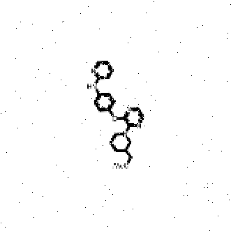 COCC1CCCN(c2nccnc2Oc2ccc(Nc3ccccn3)cc2)C1